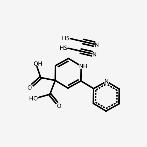 N#CS.N#CS.O=C(O)C1(C(=O)O)C=CNC(c2ccccn2)=C1